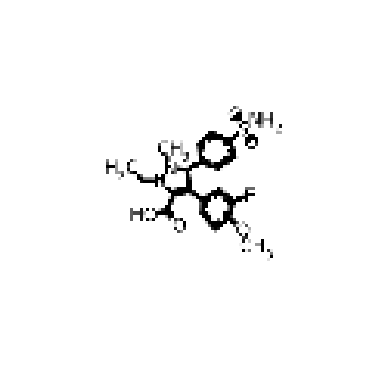 CCN1C(C(=O)O)=C(c2ccc(OC)c(F)c2)C(c2ccc(S(N)(=O)=O)cc2)N1C